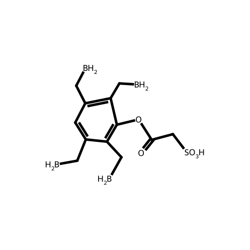 BCc1cc(CB)c(CB)c(OC(=O)CS(=O)(=O)O)c1CB